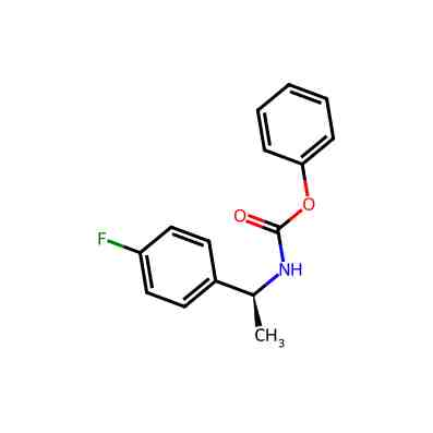 C[C@H](NC(=O)Oc1ccccc1)c1ccc(F)cc1